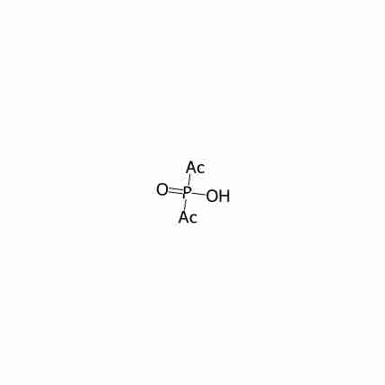 CC(=O)P(=O)(O)C(C)=O